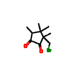 CC1C(=O)C(=O)C(C)(CBr)C1(C)C